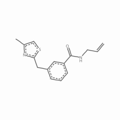 C=CCNC(=O)c1cc[c]c(Cc2nc(C)cs2)c1